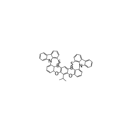 CC(C)c1c2c(cc3c1OC1C=CC=C4C1B3Sc1cccc3c5ccccc5n4c13)B1Sc3cccc4c5ccccc5n(c34)-c3cccc(c31)O2